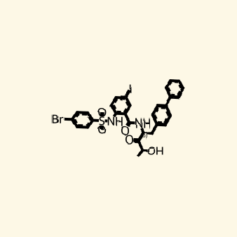 CC(O)C(=O)[C@H](Cc1ccc(-c2ccccc2)cc1)NC(=O)c1cc(I)ccc1NS(=O)(=O)c1ccc(Br)cc1